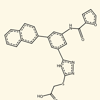 O=C(O)CSc1nnc(-c2cc(NC(=O)c3ccco3)cc(-c3ccc4ccccc4c3)c2)[nH]1